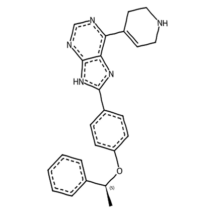 C[C@H](Oc1ccc(-c2nc3c(C4=CCNCC4)ncnc3[nH]2)cc1)c1ccccc1